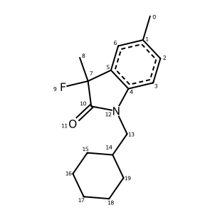 Cc1ccc2c(c1)C(C)(F)C(=O)N2CC1CCCCC1